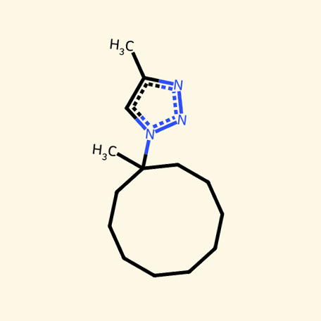 Cc1cn(C2(C)CCCCCCCCC2)nn1